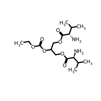 C[CH]OC(=O)OC(COC(=O)[C@@H](N)C(C)C)COC(=O)[C@@H](N)C(C)C